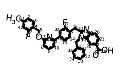 Cc1ccc(COc2cccc(-c3ccc(Cc4nc5ccc(C(=O)O)cc5n4Cc4ccccc4)c(F)c3)n2)c(F)c1